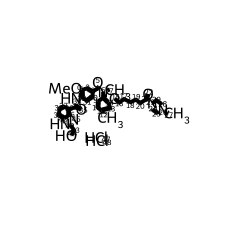 COc1cc(C(=O)N(C)c2ccc(C)cc2OCCCCCC(=O)N2CCN(C)CC2)ccc1NC(=O)c1cccc2[nH]c(CO)nc12.Cl.Cl